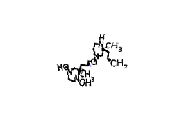 C=CC[C@@]1(C)CN(O/C=C/C[C@@]2(C)CN(O)CCN2O)CCN1